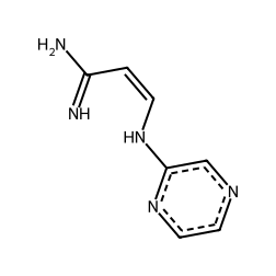 N=C(N)/C=C\Nc1cnccn1